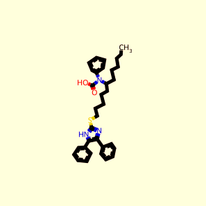 CCCCCCC(CCCCCSc1nc(-c2ccccc2)c(-c2ccccc2)[nH]1)N(C(=O)O)c1ccccc1